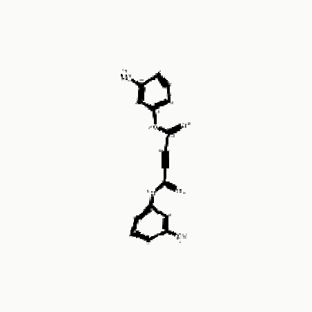 N#Cc1cccc(OC(=O)C#CC(=O)Oc2cccc(C#N)c2)c1